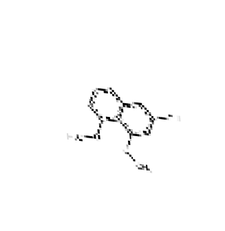 COc1cccc2cc(O)cc(OC)c12